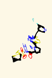 O=C(NS(=O)(=O)c1cccs1)c1cccc(-c2nnc(-c3cncc(F)c3)s2)n1